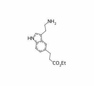 CCOC(=O)CCc1ccc2[nH]cc(CCN)c2c1